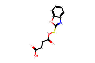 O=C(O)CCC(=O)OSc1nc2ccccc2o1